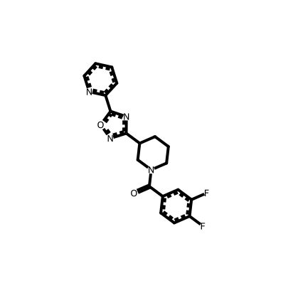 O=C(c1ccc(F)c(F)c1)N1CCCC(c2noc(-c3ccccn3)n2)C1